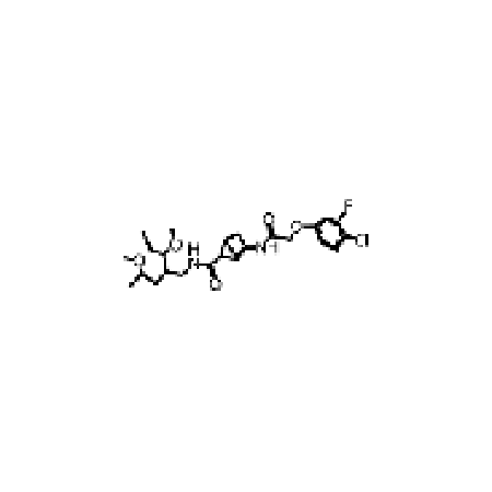 CCC(OC)C(CNC(=O)C1CC2(NC(=O)COc3ccc(Cl)c(F)c3)CC1C2)CC(C)OC